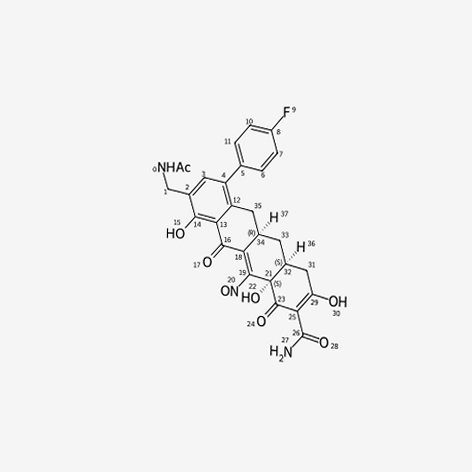 CC(=O)NCc1cc(-c2ccc(F)cc2)c2c(c1O)C(=O)C1=C(N=O)[C@]3(O)C(=O)C(C(N)=O)=C(O)C[C@@H]3C[C@@H]1C2